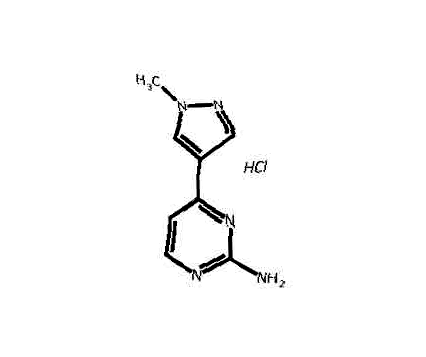 Cl.Cn1cc(-c2ccnc(N)n2)cn1